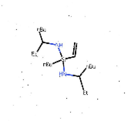 C=C[Si](CCCC)(NC(CC)CCCC)NC(CC)CCCC